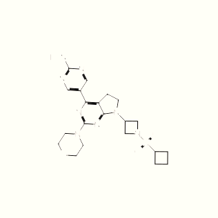 Nc1ncc(-c2nc(N3CCOCC3)nc3c2CCN3C2CN(S(=O)(=O)C3CCC3)C2)cn1